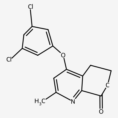 Cc1cc(Oc2cc(Cl)cc(Cl)c2)c2c(n1)C(=O)CCC2